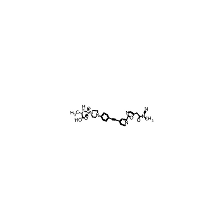 C[C@@H](NS(=O)(=O)N1CCN(c2ccc(C#Cc3ccnc(-c4ncc(CC(=O)N(C)C#N)o4)c3)cc2)CC1)C(=O)O